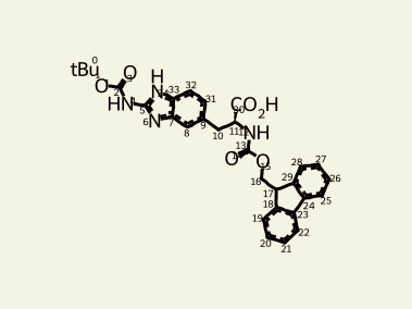 CC(C)(C)OC(=O)Nc1nc2cc(C[C@H](NC(=O)OCC3c4ccccc4-c4ccccc43)C(=O)O)ccc2[nH]1